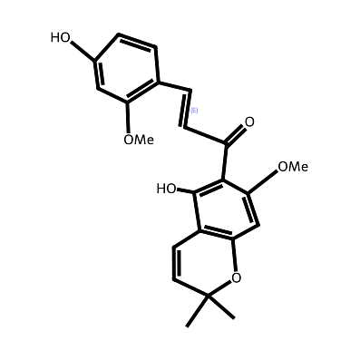 COc1cc(O)ccc1/C=C/C(=O)c1c(OC)cc2c(c1O)C=CC(C)(C)O2